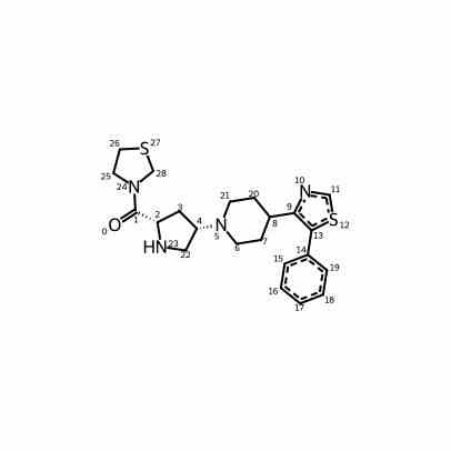 O=C([C@@H]1C[C@H](N2CCC(c3ncsc3-c3ccccc3)CC2)CN1)N1CCSC1